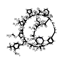 CCO[C@@H]1C[C@H]2C(=O)NC3(CC(C)(C)C3)C(=O)N(C)[C@@H](C3CCCC3)C(=O)N(C)[C@H](C(=O)N3CCCCC3)CC(=O)N(C)[C@H]3CCCCCc4ccc(cc4)C[C@@H](C(=O)N(C)CC(=O)N[C@@H](CCc4ccc(C(F)(F)F)c(OC)c4)C(=O)N2C1)N1CC/C=C\C[C@@H](C1=O)N(C)C(=O)CN(C)C(=O)[C@H]([C@@H](C)CC)NC3=O